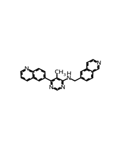 Cc1c(NCc2ccc3cnccc3c2)ncnc1-c1ccc2ncccc2c1